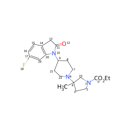 CCOC(=O)N1CCC(C)(N2CCC(N3C(=O)Cc4ccc(F)cc43)CC2)C1